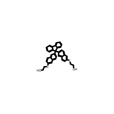 OCCSc1ccc2cc(C3(c4ccc5cc(SCCO)ccc5c4)c4ccccc4-c4ccccc43)ccc2c1